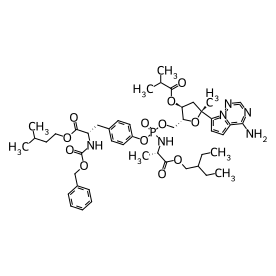 CCC(CC)COC(=O)[C@H](C)NP(=O)(OC[C@H]1O[C@@](C)(c2ccc3c(N)ncnn23)C[C@@H]1OC(=O)C(C)C)Oc1ccc(C[C@H](NC(=O)OCc2ccccc2)C(=O)OCCC(C)C)cc1